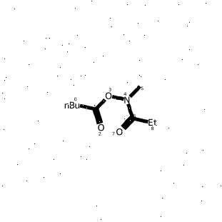 CCCCC(=O)ON(C)C(=O)CC